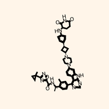 Cc1cc(-c2ncnc3[nH]c4cc(N5CCN([C@H]6C[C@H](c7ccc(NC8CCC(=O)NC8=O)cc7)C6)CC5)ccc4c23)ccc1[C@@H](C)NC(=O)c1nc(C2(C)CC2)no1